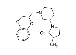 CC1CCN(C2CCCN(CC3COc4ccccc4O3)C2)C1=O